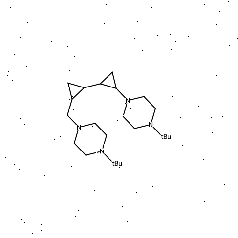 CC(C)(C)N1CCN(CC2CC2C2CC2N2CCN(C(C)(C)C)CC2)CC1